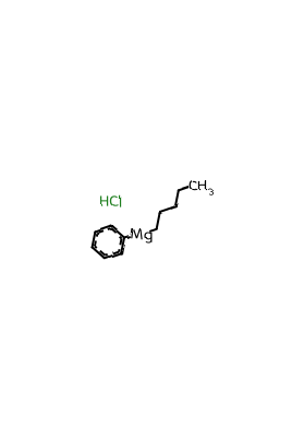 CCCC[CH2][Mg][c]1ccccc1.Cl